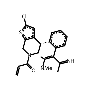 C=CC(=O)N1Cc2sc(Cl)cc2[C@H](c2ccccc2/C(C(C)=N)=C(\C)NC)C1